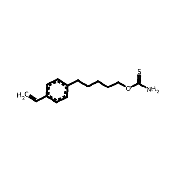 C=Cc1ccc(CCCCCOC(N)=S)cc1